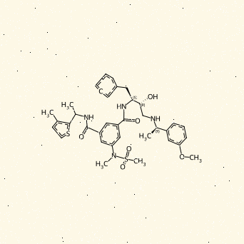 COc1cccc([C@@H](C)NC[C@@H](O)[C@H](Cc2ccccc2)NC(=O)c2cc(C(=O)NC(C)c3sccc3C)cc(N(C)S(C)(=O)=O)c2)c1